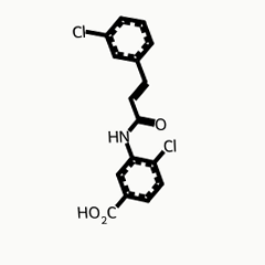 O=C(C=Cc1cccc(Cl)c1)Nc1cc(C(=O)O)ccc1Cl